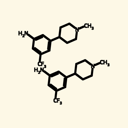 CN1CCC(c2cc(N)cc(C(F)(F)F)c2)CC1.CN1CCC(c2cc(N)cc(C(F)(F)F)c2)CC1